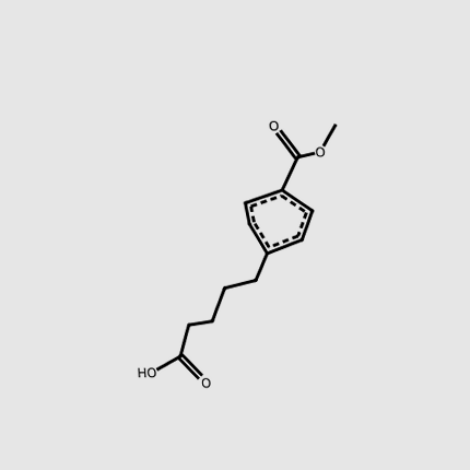 COC(=O)c1ccc(CCCCC(=O)O)cc1